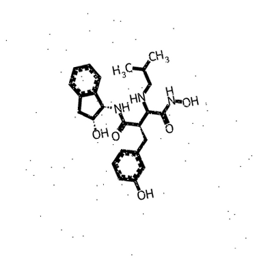 CC(C)CNC(C(=O)NO)[C@@H](Cc1cccc(O)c1)C(=O)N[C@H]1c2ccccc2C[C@H]1O